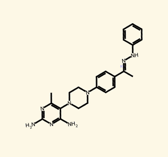 C/C(=N\Nc1ccccc1)c1ccc(N2CCN(c3c(C)nc(N)nc3N)CC2)cc1